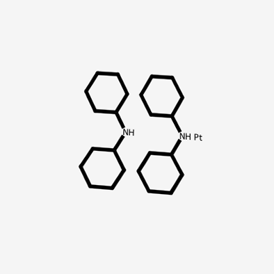 C1CCC(NC2CCCCC2)CC1.C1CCC(NC2CCCCC2)CC1.[Pt]